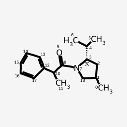 CC1C[C@@H](C(C)C)N(C(=O)C(C)c2ccccc2)C1